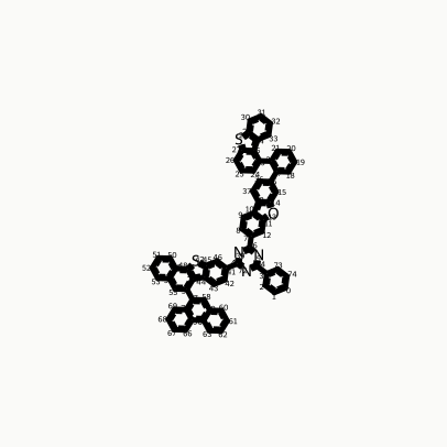 c1ccc(-c2nc(-c3ccc4c(c3)oc3cc(-c5ccccc5-c5cccc6sc7ccccc7c56)ccc34)nc(-c3ccc4c(c3)sc3c5ccccc5cc(-c5cc6ccccc6c6ccccc56)c43)n2)cc1